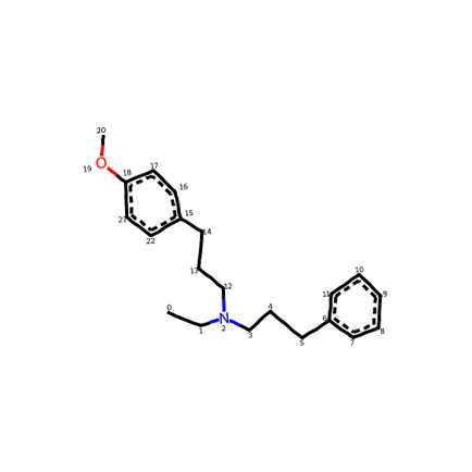 CCN(CCCc1ccccc1)CCCc1ccc(OC)cc1